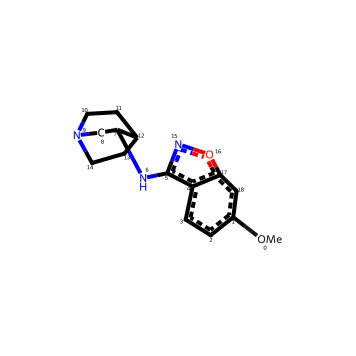 COc1ccc2c(NC3CN4CCC3CC4)noc2c1